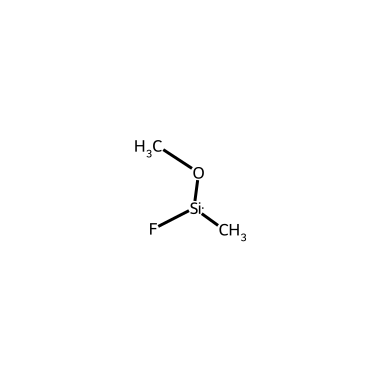 CO[Si](C)F